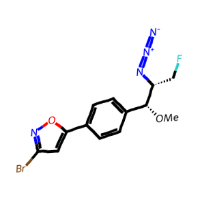 CO[C@H](c1ccc(-c2cc(Br)no2)cc1)[C@@H](CF)N=[N+]=[N-]